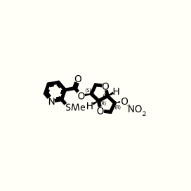 CSc1ncccc1C(=O)O[C@H]1CO[C@H]2[C@@H]1OC[C@H]2O[N+](=O)[O-]